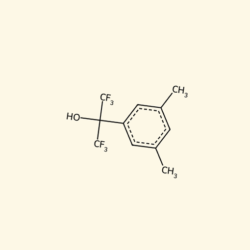 Cc1cc(C)cc(C(O)(C(F)(F)F)C(F)(F)F)c1